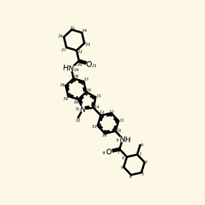 CC1CCCCC1C(=O)Nc1ccc(-c2cc3cc(NC(=O)C4CCCCC4)ccc3n2C)cc1